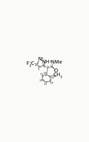 CNC(=O)C(c1cc(C(F)(F)F)n[nH]1)c1ccccc1C